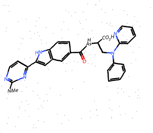 CNc1nccc(-c2cc3cc(C(=O)[AsH]C(CN(c4ccccc4)c4ccccn4)C(=O)O)ccc3[nH]2)n1